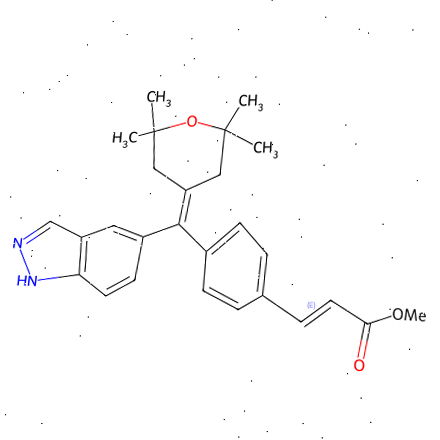 COC(=O)/C=C/c1ccc(C(=C2CC(C)(C)OC(C)(C)C2)c2ccc3[nH]ncc3c2)cc1